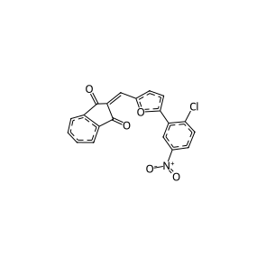 O=C1C(=Cc2ccc(-c3cc([N+](=O)[O-])ccc3Cl)o2)C(=O)c2ccccc21